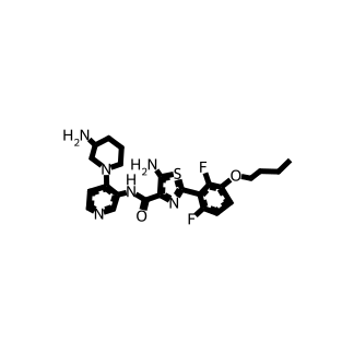 CCCCOc1ccc(F)c(-c2nc(C(=O)Nc3cnccc3N3CCCC(N)C3)c(N)s2)c1F